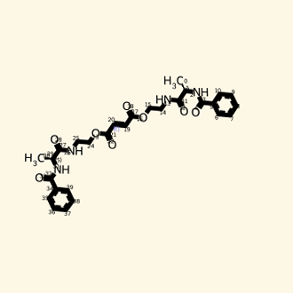 C[C@H](NC(=O)c1ccccc1)C(=O)NCCOC(=O)/C=C/C(=O)OCCNC(=O)[C@H](C)NC(=O)c1ccccc1